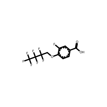 O=C(O)c1ccc(OCC(F)(F)C(F)(F)C(F)(F)F)c(F)c1